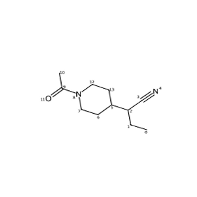 CCC(C#N)C1CCN(C(C)=O)CC1